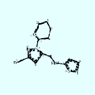 Brc1cc(CNc2ccns2)n(C2CCCCO2)n1